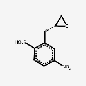 O=[N+]([O-])c1ccc(S(=O)(=O)O)c(C[C@@H]2CO2)c1